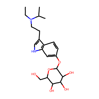 CCN(CCc1c[nH]c2cc(OC3OC(CO)C(O)C(O)C3O)ccc12)C(C)C